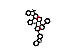 CC1(C)c2ccccc2-c2c(-c3ccccc3N(c3ccc(-c4ccc5sc6ccccc6c5c4)cc3)c3ccccc3-c3ccccc3-c3ccccc3)cccc21